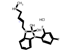 CNC/C=C/CN1c2ccccc2N(c2ccc(F)cc2F)S1(O)O.Cl